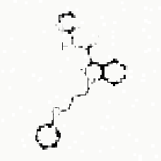 O=C(Nc1nccs1)c1nn(CCCOc2ccccc2)c2ccccc12